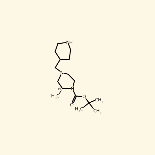 C[C@@H]1CN(CC2CCNCC2)CCN1C(=O)OC(C)(C)C